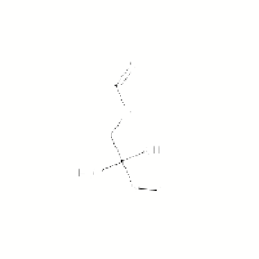 CSC(C)(C)COC=O